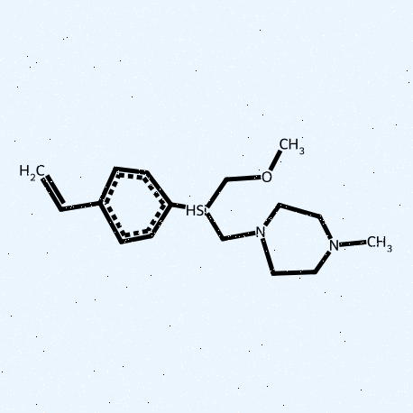 C=Cc1ccc([SiH](COC)CN2CCN(C)CC2)cc1